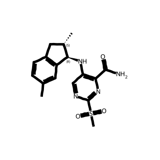 Cc1ccc2c(c1)[C@H](Nc1cnc(S(C)(=O)=O)nc1C(N)=O)[C@@H](C)C2